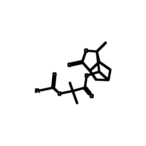 CC(C)C(=O)OC(C)(C)C(=O)OC1C2CC3C(=O)OC1(C)C3C2